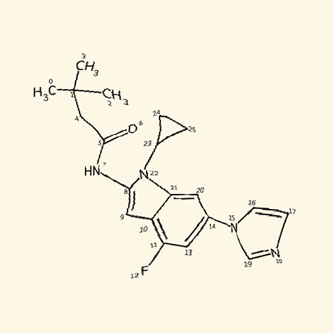 CC(C)(C)CC(=O)Nc1cc2c(F)cc(-n3ccnc3)cc2n1C1CC1